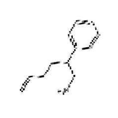 C=CCCC(CN)c1ccccc1